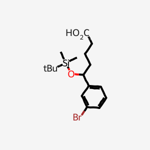 CC(C)(C)[Si](C)(C)OC(CCCC(=O)O)c1cccc(Br)c1